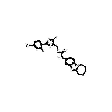 Cc1cc(Cl)ccc1-c1nc(C)c(COC(=O)Nc2ccc3c(c2)nc2n3CCCCC2)s1